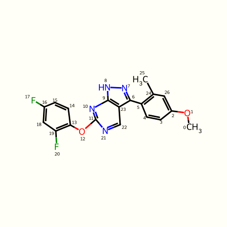 COc1ccc(-c2n[nH]c3nc(Oc4ccc(F)cc4F)ncc23)c(C)c1